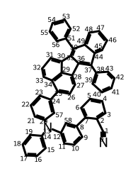 N#Cc1ccccc1-c1cccc(N(c2ccccc2)c2cccc(-c3ccc4c5c(cccc35)-c3c-4c(-c4ccccc4)c4ccccc4c3-c3ccccc3)c2)c1